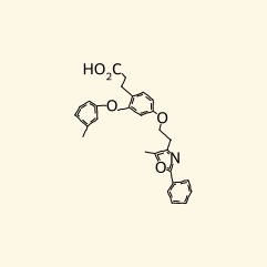 Cc1cccc(OCc2cc(OCCc3nc(-c4ccccc4)oc3C)ccc2CCC(=O)O)c1